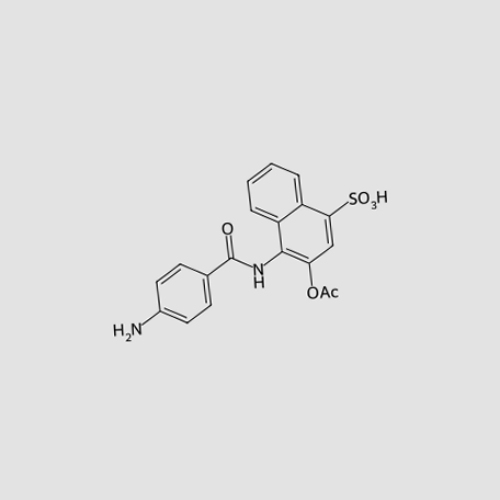 CC(=O)Oc1cc(S(=O)(=O)O)c2ccccc2c1NC(=O)c1ccc(N)cc1